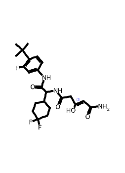 CC(C)(C)c1ccc(NC(=O)C(NC(=O)C/C(O)=C/C(N)=O)C2CCC(F)(F)CC2)cc1F